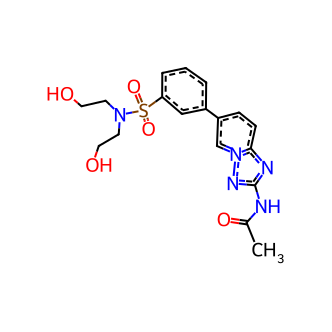 CC(=O)Nc1nc2ccc(-c3cccc(S(=O)(=O)N(CCO)CCO)c3)cn2n1